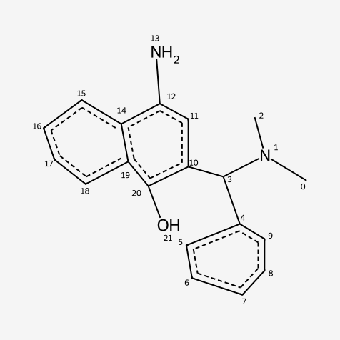 CN(C)C(c1ccccc1)c1cc(N)c2ccccc2c1O